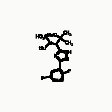 COC(C)(C)C(c1nc(-c2cc(F)ccc2F)n[nH]1)N(C(=O)O)C(C)(C)C